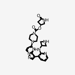 O=C1C[C@H](OC(=O)N2CCN(c3ccn4ncc(-c5cccnc5NC5CNC5)c4n3)CC2)CN1